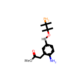 COC(=O)Cc1cc(BOC(C)(C)C(C)(C)P)ccc1N